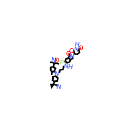 Cc1ccc(-c2c(C)noc2C)cc1N(CCCCNc1cc2c(cc1F)C(=O)N(C1CCC(=O)NC1=O)C2)c1ccc(C2(C#N)CC2)cc1